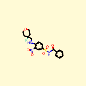 O=C(NS(=O)(=O)c1ccc(NCC2(F)CCOCC2)c([N+](=O)[O-])c1)c1ccccc1